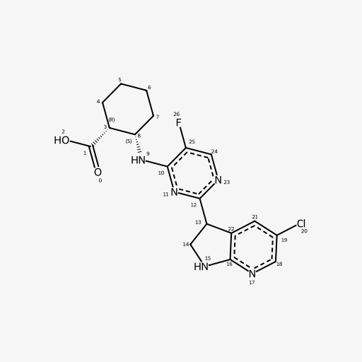 O=C(O)[C@@H]1CCCC[C@@H]1Nc1nc(C2CNc3ncc(Cl)cc32)ncc1F